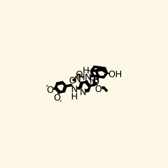 CCOC(=O)c1cnc(NCc2ccc(OC)c(OC)c2)c([N+](=O)[O-])c1N[C@H]1[C@@H]2CC3C[C@H]1C[C@](O)(C3)C2